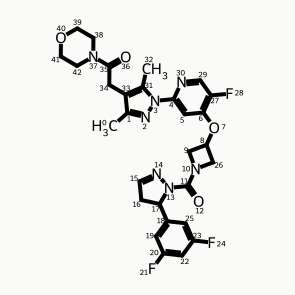 Cc1nn(-c2cc(OC3CN(C(=O)N4N=CCC4c4cc(F)cc(F)c4)C3)c(F)cn2)c(C)c1CC(=O)N1CCOCC1